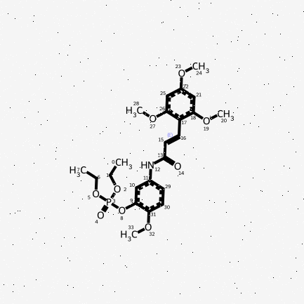 CCOP(=O)(OCC)Oc1cc(NC(=O)/C=C/c2c(OC)cc(OC)cc2OC)ccc1OC